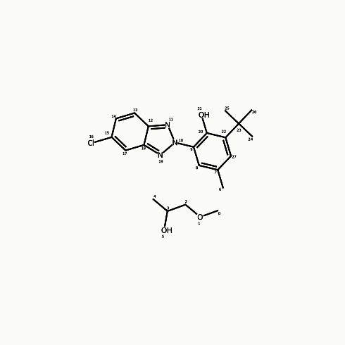 COCC(C)O.Cc1cc(-n2nc3ccc(Cl)cc3n2)c(O)c(C(C)(C)C)c1